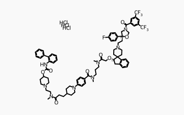 CN(CCN1CCC(OC(=O)Nc2ccccc2-c2ccccc2)CC1)C(=O)CCC1CCN(c2ccc(C(=O)N(C)CCCN(C)C(=O)CO[C@H]3Cc4ccccc4C34CCN(CC[C@@]3(c5ccc(F)cc5)CN(C(=O)c5cc(C(F)(F)F)cc(C(F)(F)F)c5)CO3)CC4)cc2)CC1.Cl.Cl.Cl